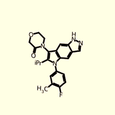 Cc1cc(-n2c(C(C)C)c(N3CCOCC3=O)c3cc4[nH]ncc4cc32)ccc1F